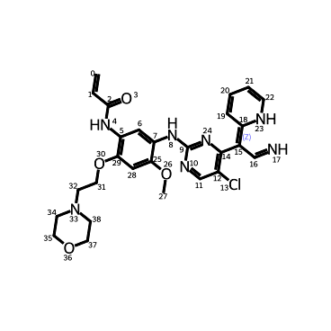 C=CC(=O)Nc1cc(Nc2ncc(Cl)c(/C(C=N)=C3\C=CC=CN3)n2)c(OC)cc1OCCN1CCOCC1